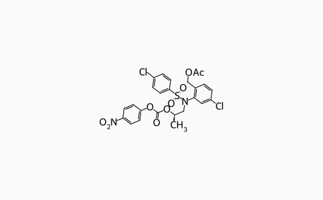 CC(=O)OCc1ccc(Cl)cc1N(C[C@@H](C)OC(=O)Oc1ccc([N+](=O)[O-])cc1)S(=O)(=O)c1ccc(Cl)cc1